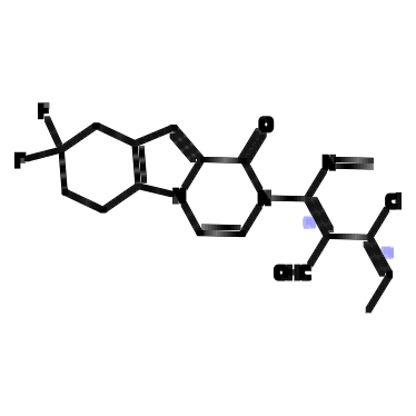 C=N/C(=C(C=O)\C(Cl)=C/C)n1ccn2c3c(cc2c1=O)CC(F)(F)CC3